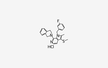 CSc1c(C)n(Cc2cccc(F)c2)c2c(N3CCc4ccccc4C3)nccc12.Cl